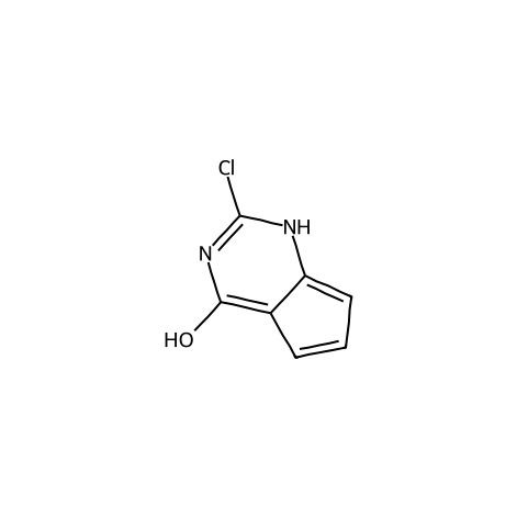 Oc1nc(Cl)[nH]c2cccc1-2